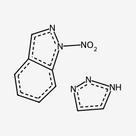 O=[N+]([O-])n1ncc2ccccc21.c1c[nH]nn1